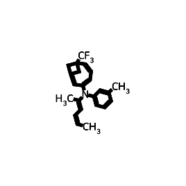 C/C=C\C=C(/C)N(/C1=C/C=C\C2(C(F)(F)F)CC(=C1)C2)c1cccc(C)c1